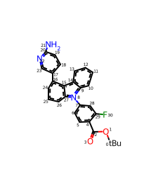 CC(C)(C)OC(=O)c1ccc(-n2c3ccccc3c3c(-c4ccc(N)nc4)cccc32)cc1F